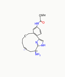 COC(=O)Nc1ccc2c(c1)CCCC/C=C\C[C@H](N)c1nc-2c[nH]1